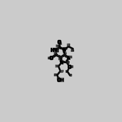 CCOc1nc2c(c(=O)[nH]c(=O)n2CC)n1CCCO